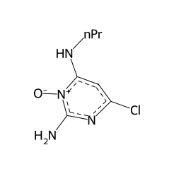 CCCNc1cc(Cl)nc(N)[n+]1[O-]